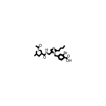 CCCCc1ncc(CNC(=O)C(CSC(C)=O)CC(C)C)n1Cc1ccc(C(=O)O)c(Br)c1